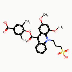 COc1cc(OC)c2c(c1)c(C(=O)Oc1c(C)cc(C(=O)O)cc1C)c1ccccc1[n+]2CCCS(=O)(=O)O